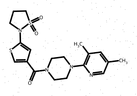 Cc1cnc(N2CCN(C(=O)c3csc(N4CCCS4(=O)=O)c3)CC2)c(C)c1